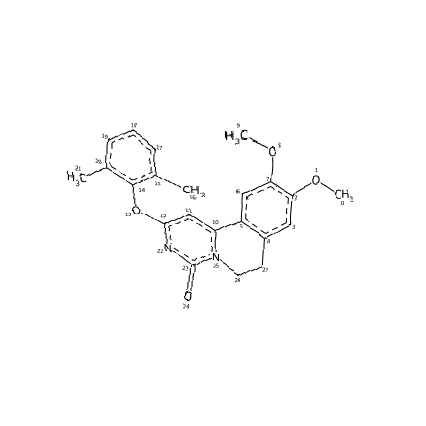 COc1cc2c(cc1OC)-c1cc(Oc3c(C)cccc3C)nc(=O)n1CC2